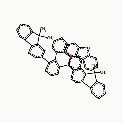 CC1(C)c2ccccc2-c2ccc(-c3cccc(N(c4ccc5c(c4)C(C)(C)c4ccccc4-5)c4cccc5oc6ccccc6c45)c3-c3ccccc3-c3ccccc3)cc21